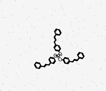 C(=Cc1ccccc1)Cc1ccc(OP(Oc2ccc(CC=Cc3ccccc3)cc2)Oc2ccc(CC=Cc3ccccc3)cc2)cc1